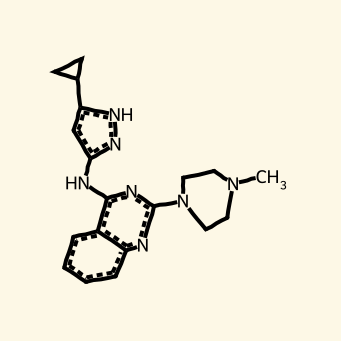 CN1CCN(c2nc(Nc3cc(C4CC4)[nH]n3)c3ccccc3n2)CC1